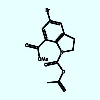 C=C(C)OC(=O)N1CCc2cc(Br)cc(C(=O)OC)c21